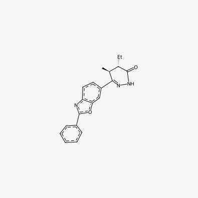 CC[C@@H]1C(=O)NN=C(c2ccc3nc(-c4ccccc4)oc3c2)[C@H]1C